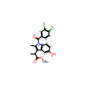 Cc1c(C(C)C(=O)OC(C)(C)C)c2cc(O)ccc2n1C(=O)c1ccc(Cl)c(F)c1